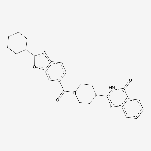 O=C(c1ccc2nc(C3CCCCC3)oc2c1)N1CCN(c2nc3ccccc3c(=O)[nH]2)CC1